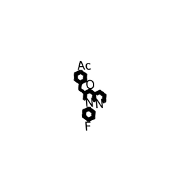 CC(=O)c1ccc(Cc2cn(-c3ccc(F)cc3)c3ncccc3c2=O)cc1